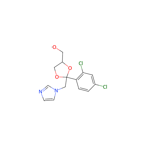 [O]CC1COC(Cn2ccnc2)(c2ccc(Cl)cc2Cl)O1